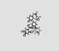 CN1CCN(c2ccc(-c3cc(CN(C)C4COC4)ccc3F)cc2NC(=O)c2c[nH]c(=O)cc2C(F)(F)F)CC1